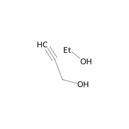 C#CCO.CCO